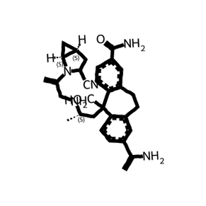 C=C(N)c1ccc2c(c1)CCc1cc(C(N)=O)ccc1C2(C[C@H](C)NCC(=C)N1C(C#N)C[C@@H]2C[C@@H]21)C(=O)O